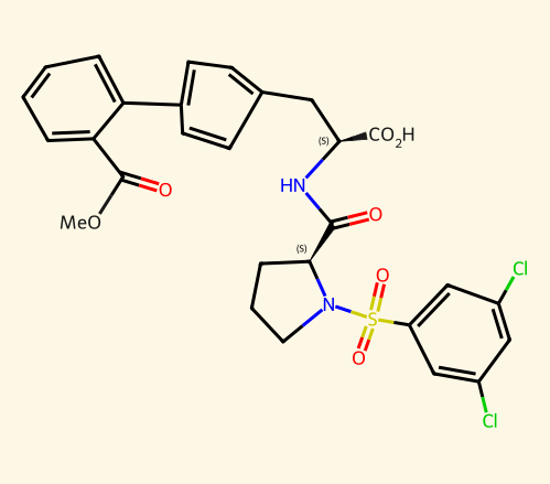 COC(=O)c1ccccc1-c1ccc(C[C@H](NC(=O)[C@@H]2CCCN2S(=O)(=O)c2cc(Cl)cc(Cl)c2)C(=O)O)cc1